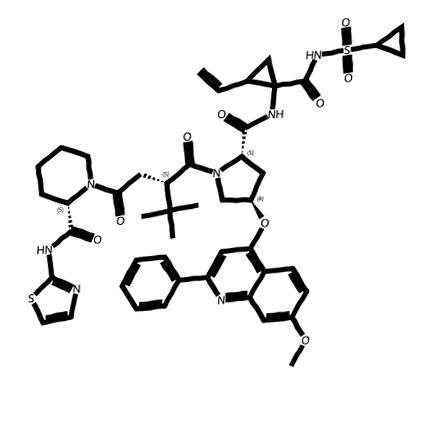 C=CC1CC1(NC(=O)[C@@H]1C[C@@H](Oc2cc(-c3ccccc3)nc3cc(OC)ccc23)CN1C(=O)[C@@H](CC(=O)N1CCCC[C@H]1C(=O)Nc1nccs1)C(C)(C)C)C(=O)NS(=O)(=O)C1CC1